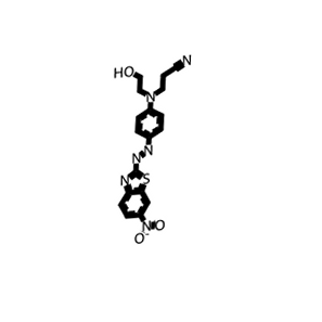 N#CCCN(CCO)c1ccc(N=Nc2nc3ccc([N+](=O)[O-])cc3s2)cc1